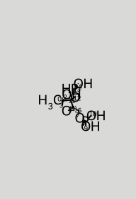 CC1(O)CO[C@H](COP(O)O)C1OPO